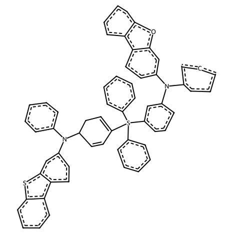 C1=CC(N(c2ccccc2)c2ccc3c(c2)sc2ccccc23)CC=C1S(c1ccccc1)(c1ccccc1)c1cccc(N(c2ccccc2)c2ccc3c(c2)oc2ccccc23)c1